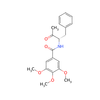 COc1cc(C(=O)N[C@@H](Cc2ccccc2)C(C)=O)cc(OC)c1OC